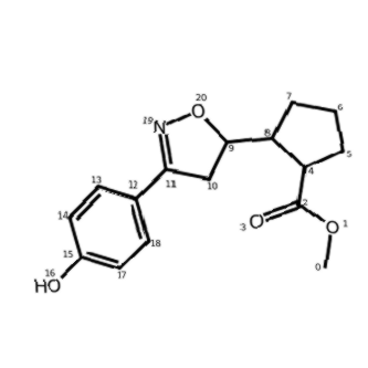 COC(=O)C1CCCC1C1CC(c2ccc(O)cc2)=NO1